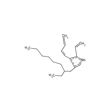 C=C/C=C\c1c(CC(CC)CCCCCC)c[nH]c1C=C